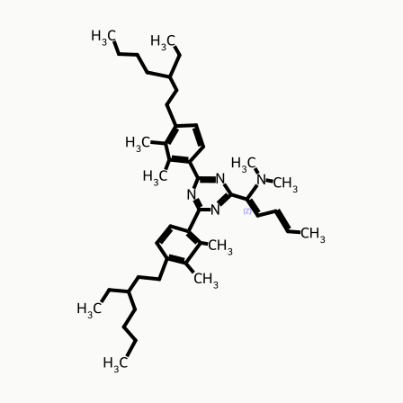 CC=C/C=C(/c1nc(-c2ccc(CCC(CC)CCCC)c(C)c2C)nc(-c2ccc(CCC(CC)CCCC)c(C)c2C)n1)N(C)C